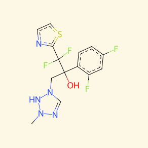 CN1N=CN(CC(O)(c2ccc(F)cc2F)C(F)(F)c2nccs2)N1